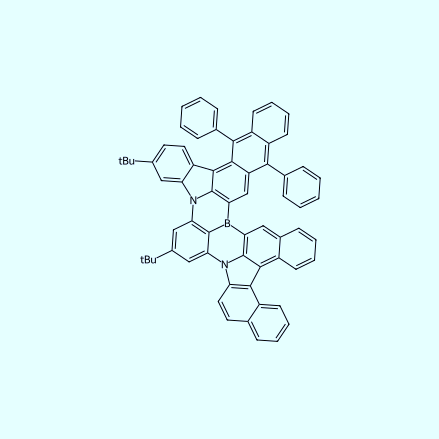 CC(C)(C)c1cc2c3c(c1)-n1c4ccc5ccccc5c4c4c5ccccc5cc(c41)B3c1cc3c(-c4ccccc4)c4ccccc4c(-c4ccccc4)c3c3c4ccc(C(C)(C)C)cc4n-2c13